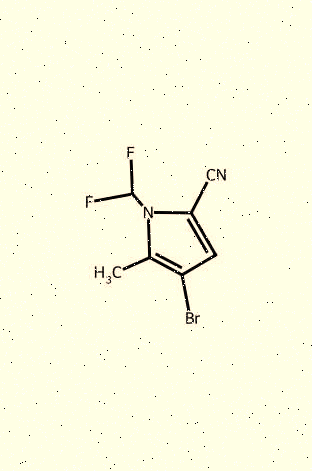 Cc1c(Br)cc(C#N)n1C(F)F